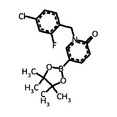 CC1(C)OB(c2ccc(=O)n(Cc3ccc(Cl)cc3F)c2)OC1(C)C